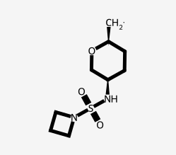 [CH2][C@H]1CC[C@@H](NS(=O)(=O)N2CCC2)CO1